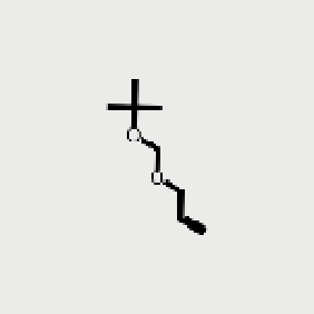 C=CCOCOC(C)(C)C